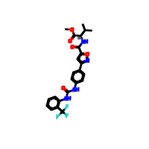 COC(=O)[C@@H](NC(=O)c1cc(-c2ccc(NC(=O)Nc3ccccc3C(F)(F)F)cc2)no1)C(C)C